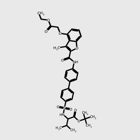 CCOC(=O)COc1cccc2oc(C(=O)Nc3ccc(-c4ccc(S(=O)(=O)NC(C(=O)OC(C)(C)C)C(C)C)cc4)cc3)c(C)c12